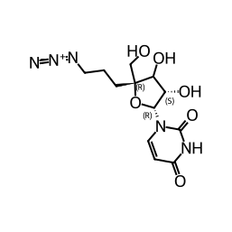 [N-]=[N+]=NCCC[C@]1(CO)O[C@@H](n2ccc(=O)[nH]c2=O)[C@@H](O)C1O